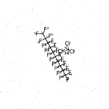 Cl[SiH](Cl)Cl.FC(F)C(F)(F)C(F)(F)C(F)(F)C(F)(F)C(F)(F)C(F)(F)C(F)(F)C(F)(F)C(F)(F)F